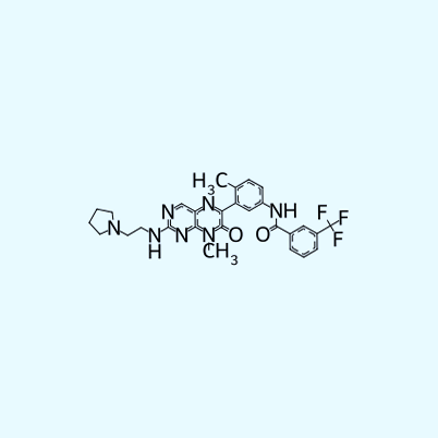 Cc1ccc(NC(=O)c2cccc(C(F)(F)F)c2)cc1-c1nc2cnc(NCCN3CCCC3)nc2n(C)c1=O